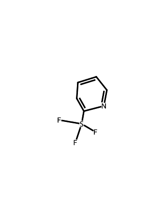 FS(F)(F)c1ccccn1